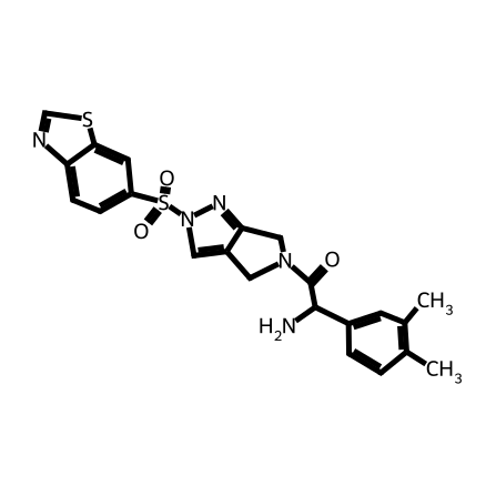 Cc1ccc(C(N)C(=O)N2Cc3cn(S(=O)(=O)c4ccc5ncsc5c4)nc3C2)cc1C